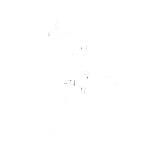 c1ccc(-c2ccc(C3=NC(c4ccc5ccccc5c4)=NC(c4ccc(-c5ccc6sc7c8ccccc8ccc7c6c5)c5oc6ccccc6c45)N3)cc2)cc1